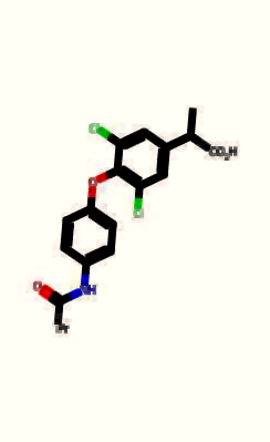 CC(C)C(=O)Nc1ccc(Oc2c(Cl)cc(C(C)C(=O)O)cc2Cl)cc1